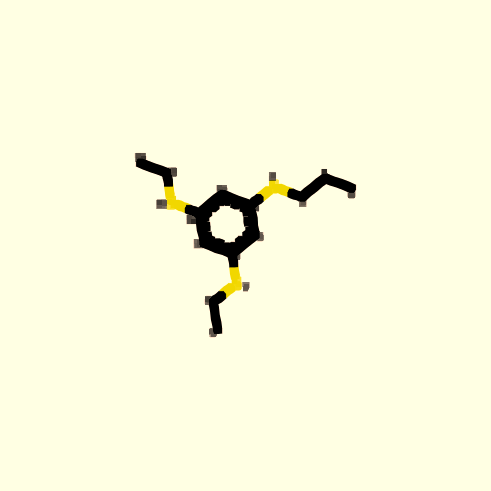 CCCSc1cc(SCC)cc(SCC)c1